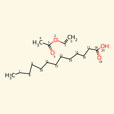 C=COC(C)=O.CCCCCCCCCCCCC(=O)O